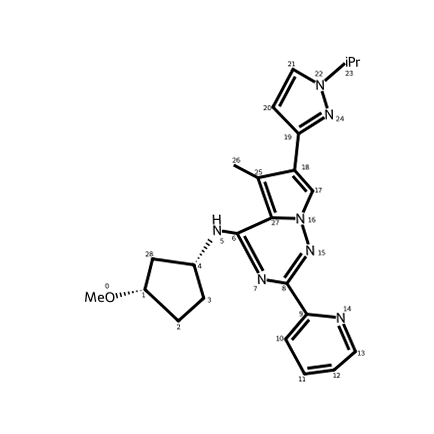 CO[C@H]1CC[C@@H](Nc2nc(-c3ccccn3)nn3cc(-c4ccn(C(C)C)n4)c(C)c23)C1